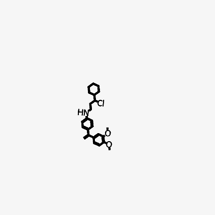 C=C(c1ccc(NCCC(Cl)C2CCCCC2)cc1)c1ccc(OC)c(OC)c1